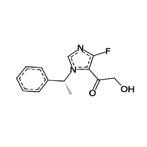 C[C@H](c1ccccc1)n1cnc(F)c1C(=O)CO